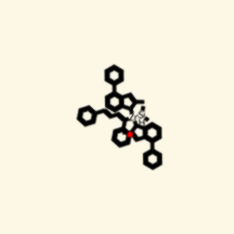 CC1=Cc2c(-c3ccccc3)cccc2[CH]1[Zr]([C](=CC=Cc1ccccc1)c1ccccc1)([CH]1C(C)=Cc2c(-c3ccccc3)cccc21)[SiH](C)C